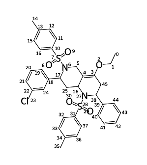 CCOC1=C2CN(S(=O)(=O)c3ccc(C)cc3)C(c3cccc(Cl)c3)CC2N(S(=O)(=O)c2ccc(C)cc2)C(c2ccccc2)C1